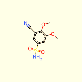 COc1cc(S(N)(=O)=O)cc(C#N)c1OC